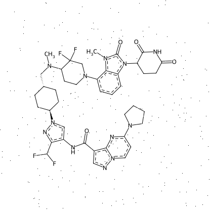 CN(C[C@H]1CC[C@H](n2cc(NC(=O)c3cnn4ccc(N5CCCC5)nc34)c(C(F)F)n2)CC1)C1CCN(c2cccc3c2n(C)c(=O)n3C2CCC(=O)NC2=O)CC1(F)F